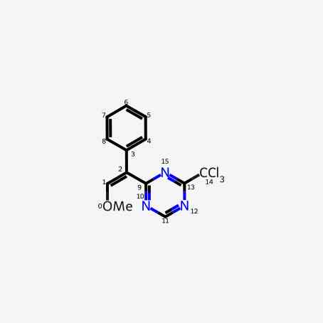 COC=C(c1ccccc1)c1ncnc(C(Cl)(Cl)Cl)n1